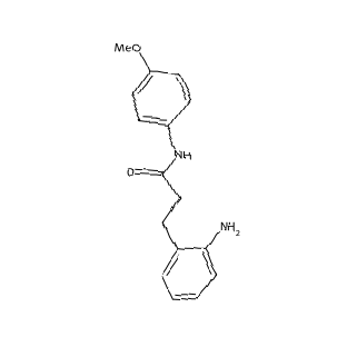 COc1ccc(NC(=O)CCc2ccccc2N)cc1